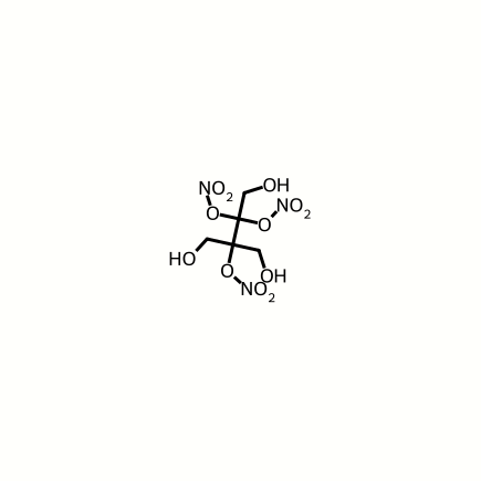 O=[N+]([O-])OC(CO)(CO)C(CO)(O[N+](=O)[O-])O[N+](=O)[O-]